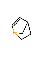 C1=CP2CCC1C2